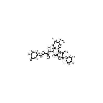 CCC[C@@H](C)C[C@H](CNC(=O)OCc1ccccc1)C(=O)N1C(=O)O[C@H](c2ccccc2)[C@@H]1C